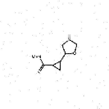 CNC(=S)C1CC1C1CNCO1